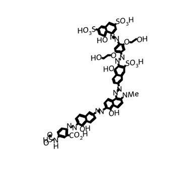 CNc1ccc2c(O)c(N=Nc3ccc4c(O)c(N=Nc5ccc(N[SH](=O)=O)cc5C(=O)O)ccc4c3)ccc2c1N=Nc1ccc2c(O)c(N=Nc3cc(OCCO)c(N=Nc4cc(S(=O)(=O)O)cc5cc(S(=O)(=O)O)cc(O)c45)cc3OCCO)c(S(=O)(=O)O)cc2c1